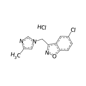 Cc1cn(Cc2noc3ccc(Cl)cc23)cn1.Cl